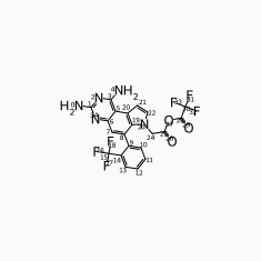 Nc1nc(N)c2c(cc(-c3ccccc3C(F)(F)F)c3c2ccn3CC(=O)OC(=O)C(F)(F)F)n1